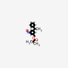 C=C(C)C(=O)OCc1cc(N=O)cc(C(C)c2ccccc2)c1